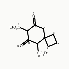 CCOC(=O)C1C(=O)CC2(CCC2)C(C(=O)OCC)C1=O